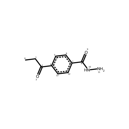 CCC(=O)c1ccc(C(=O)NN)cc1